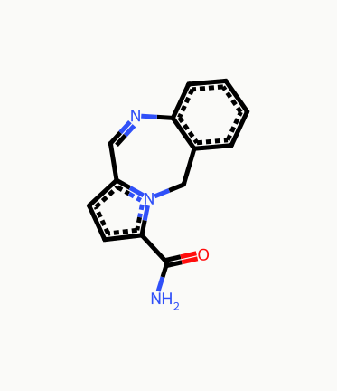 NC(=O)c1ccc2n1Cc1ccccc1N=C2